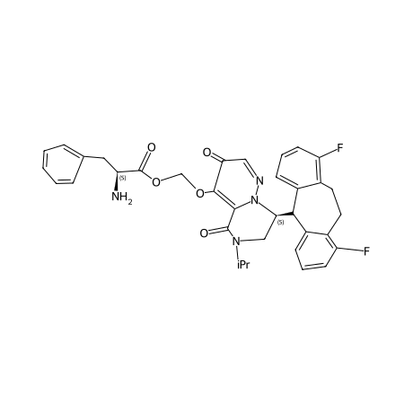 CC(C)N1C[C@H](C2c3cccc(F)c3CCc3c(F)cccc32)n2ncc(=O)c(OCOC(=O)[C@@H](N)Cc3ccccc3)c2C1=O